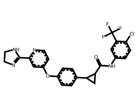 O=C(Nc1ccc(Cl)c(C(F)(F)F)c1)C1CC1c1ccc(Oc2ccnc(C3=NCCN3)c2)cc1